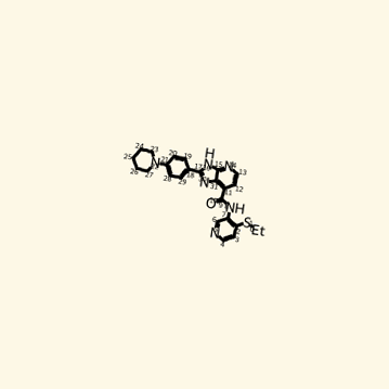 CCSc1ccncc1NC(=O)c1ccnc2[nH]c(-c3ccc(N4CCCCC4)cc3)nc12